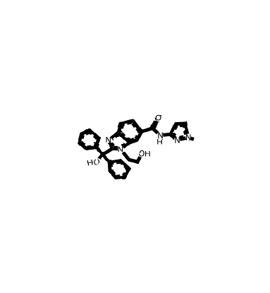 Cn1ccc(NC(=O)c2ccc3nc(C(O)(c4ccccc4)c4ccccc4)n(CCO)c3c2)n1